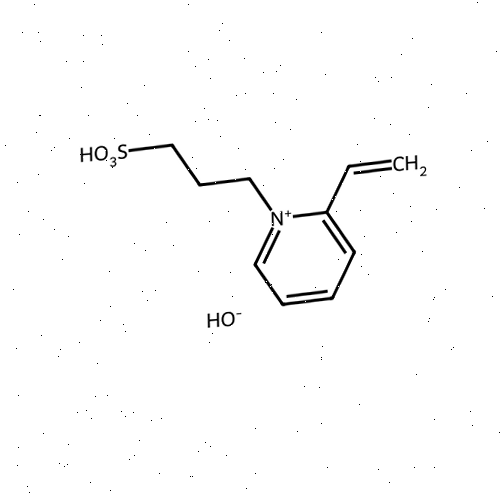 C=Cc1cccc[n+]1CCCS(=O)(=O)O.[OH-]